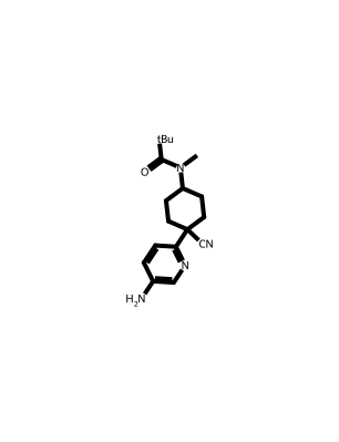 CN(C(=O)C(C)(C)C)C1CCC(C#N)(c2ccc(N)cn2)CC1